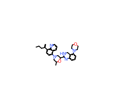 C=C(CCC)c1ccc(N2CC(C)OC(C3=Nc4cccc(N5CCOCC5)c4CN3)C2)c2cccnc12